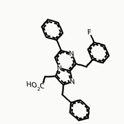 O=C(O)Cc1c(Cc2ccccc2)nc2c(Cc3cccc(F)c3)nc(-c3ccccc3)cn12